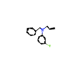 C=CCN(Cc1ccccc1)c1cccc(F)c1